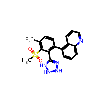 CS(=O)(=O)c1c(C(F)(F)F)ccc(-c2cccc3ncccc23)c1C1=NNNN1